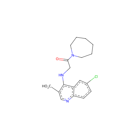 O=C(O)c1cnc2ccc(Cl)cc2c1NCC(=O)N1CCCCCC1